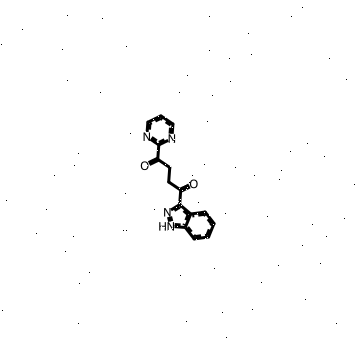 O=C(CCC(=O)c1n[nH]c2ccccc12)c1ncccn1